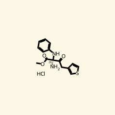 COC(=O)[C@@](N)(Nc1ccccc1)C(=O)Cc1ccsc1.Cl